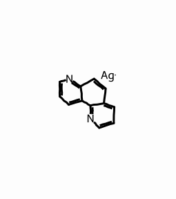 [Ag].c1cnc2c(c1)ccc1ncccc12